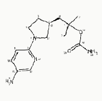 CC(C)(C[C@@H]1CCN(c2ccc(N)cn2)C1)OC(N)=O